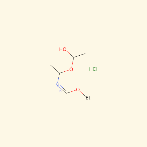 CCO/C=N\C(C)OC(C)O.Cl